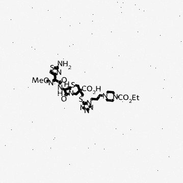 CCOC(=O)N1CCN(CCCn2nnnc2SCC2(C(=O)O)CS[C@@H]3C(NC(=O)C(=NOC)c4csc(N)n4)C(=O)N3C2)CC1